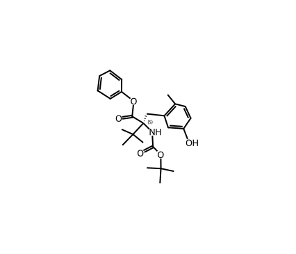 Cc1ccc(O)cc1C[C@@](NC(=O)OC(C)(C)C)(C(=O)Oc1ccccc1)C(C)(C)C